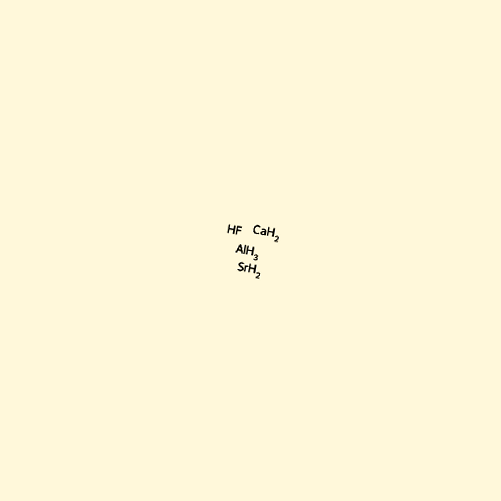 F.[AlH3].[CaH2].[SrH2]